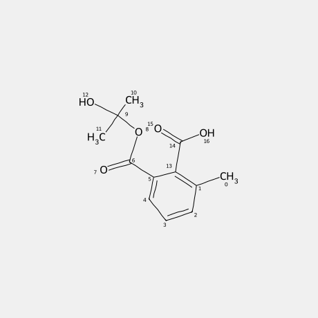 Cc1cccc(C(=O)OC(C)(C)O)c1C(=O)O